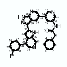 O=C(Cc1ccccc1)Nc1cncc(-c2cnc3[nH]nc(-c4cc5c(-c6cccc(F)c6)cncc5[nH]4)c3c2)c1